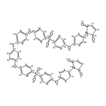 O=C1C=CC(=O)N1c1ccc(Oc2ccc(S(=O)(=O)c3ccc(Oc4ccc(Sc5ccc(Oc6ccc(S(=O)(=O)c7ccc(Oc8ccc(N9C(=O)C=CC9=O)cc8)cc7)cc6)cc5)cc4)cc3)cc2)cc1